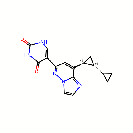 O=c1[nH]cc(-c2cc([C@H]3C[C@@H]3C3CC3)c3nccn3n2)c(=O)[nH]1